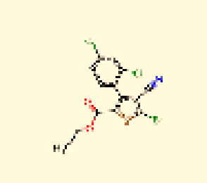 CCOC(=O)c1sc(Br)c(C#N)c1-c1ccc(Cl)cc1Cl